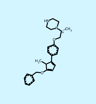 CC1C(OCc2ccccc2)=CC=C1c1ccc(OC[C@@H](C)N2CCNCC2)cc1